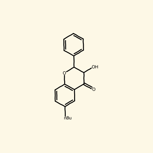 CCCCc1ccc2c(c1)C(=O)C(O)C(c1ccccc1)O2